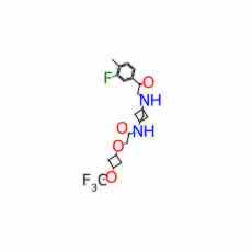 Cc1ccc(C(=O)CNC23CC(NC(=O)COC4CC(OC(F)(F)F)C4)(C2)C3)cc1F